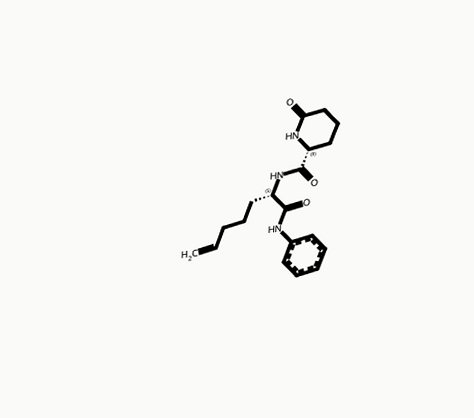 C=CCCC[C@H](NC(=O)[C@H]1CCCC(=O)N1)C(=O)Nc1ccccc1